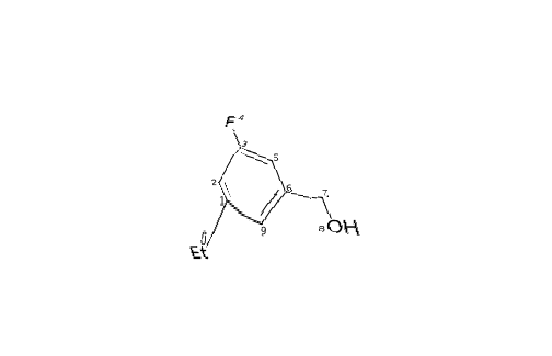 CCc1cc(F)cc([CH]O)c1